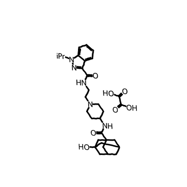 CC(C)n1nc(C(=O)NCCN2CCC(NC(=O)C34CC5CC(CC(O)(C5)C3)C4)CC2)c2ccccc21.O=C(O)C(=O)O